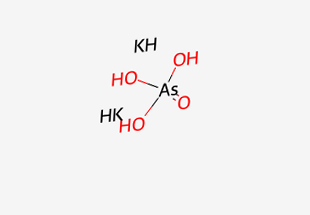 O=[As](O)(O)O.[KH].[KH]